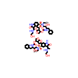 CC(C)CN(CC(O)C(Cc1ccccc1)NC(=O)OC1COC2OCCC12)S(=O)(=O)c1ccc2c(c1)C(=CNCCO)C(=O)N2.CC(NCCO)=C1C(=O)Nc2ccc(S(=O)(=O)N(CC(C)C)CC(O)C(Cc3ccccc3)NC(=O)OC3COC4OCCC34)cc21